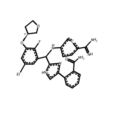 CCc1cc(O[C@H]2CCOC2)c(F)c(C(Nc2ccc(C(=N)N)cc2)c2nc(-c3ccccc3C(N)=O)c[nH]2)c1